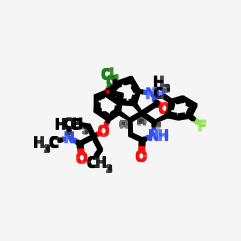 CCC(CC)(Oc1ccc(Cl)cc1[C@@H]1CC(=O)N[C@H](c2cc(F)ccc2C)[C@@]12C(=O)Nc1cc(Cl)ccc12)C(=O)N(C)C